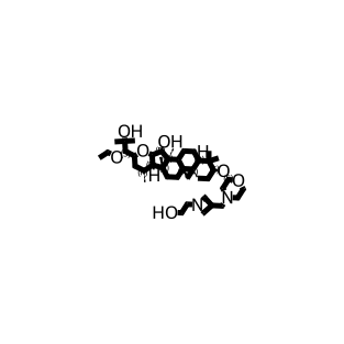 CCO[C@@H](C1C[C@@H](C)[C@H]2C(O1)[C@H](O)[C@@]1(C)C3CC[C@H]4C(C)(C)[C@@H](O[C@H]5CN(CC6CN(CCO)C6)CCO5)CC[C@@]45C[C@@]35CC[C@]21C)C(C)(C)O